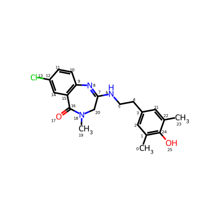 Cc1cc(CCNC2=Nc3ccc(Cl)cc3C(=O)N(C)C2)cc(C)c1O